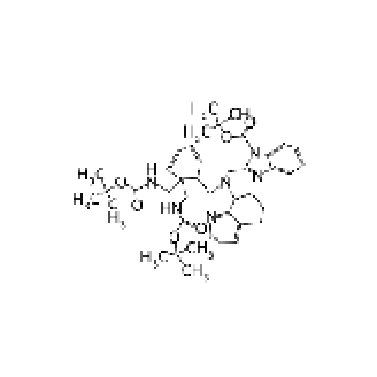 CC(C)(C)OC(=O)NCC1(CNC(=O)OC(C)(C)C)C=CC=CC1CN(Cc1nc2ccccc2n1C(=O)OC(C)(C)C)C1CCCc2cccnc21